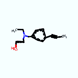 CC#Cc1ccc(N(CC)CCO)cc1